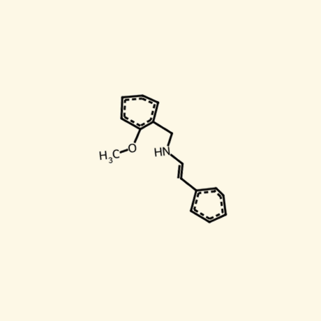 COc1ccccc1CNC=Cc1ccccc1